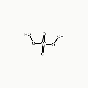 [O]=[W](=[O])([O]O)[O]O